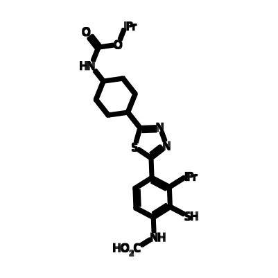 CC(C)OC(=O)NC1CCC(c2nnc(-c3ccc(NC(=O)O)c(S)c3C(C)C)s2)CC1